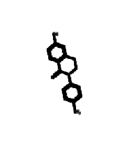 Cc1ccc(N2CCc3cc(O)ccc3C2=O)cc1